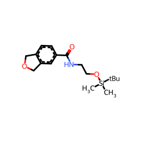 CC(C)(C)[Si](C)(C)OCCNC(=O)c1ccc2c(c1)COC2